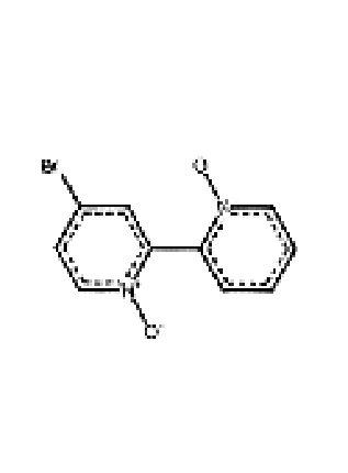 [O-][n+]1ccccc1-c1cc(Br)cc[n+]1[O-]